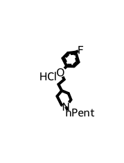 CCCCCN1CCC(CCOc2ccc(F)cc2)CC1.Cl